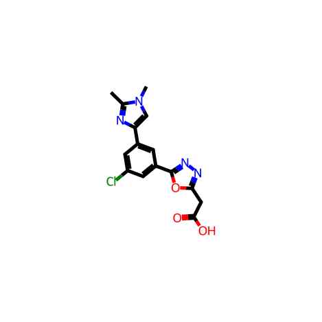 Cc1nc(-c2cc(Cl)cc(-c3nnc(CC(=O)O)o3)c2)cn1C